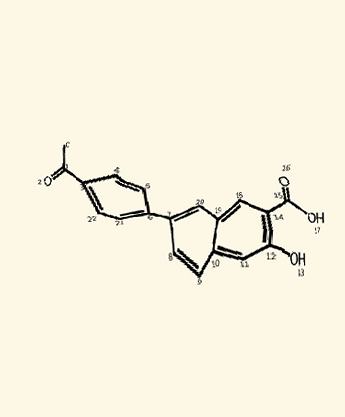 CC(=O)c1ccc(-c2ccc3cc(O)c(C(=O)O)cc3c2)cc1